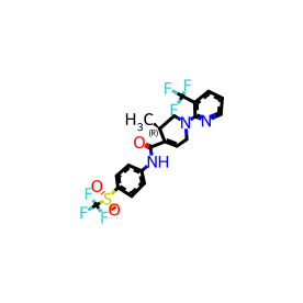 C[C@H]1CN(c2ncccc2C(F)(F)F)CC=C1C(=O)Nc1ccc(S(=O)(=O)C(F)(F)F)cc1